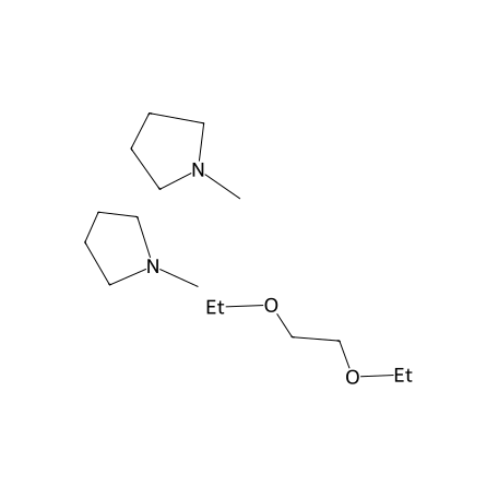 CCOCCOCC.CN1CCCC1.CN1CCCC1